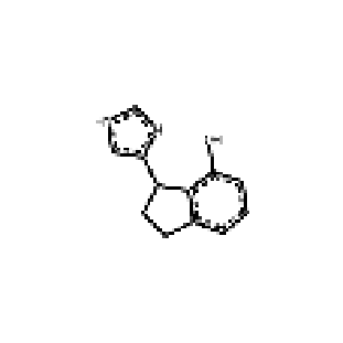 Oc1cccc2c1C(c1c[nH]cn1)CC2